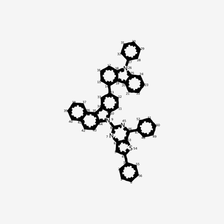 c1ccc(-c2cc3nc(-n4c5ccc(-c6cccc7c6c6ccccc6n7-c6ccccc6)cc5c5c6ccccc6ccc54)nc(-c4ccccc4)c3s2)cc1